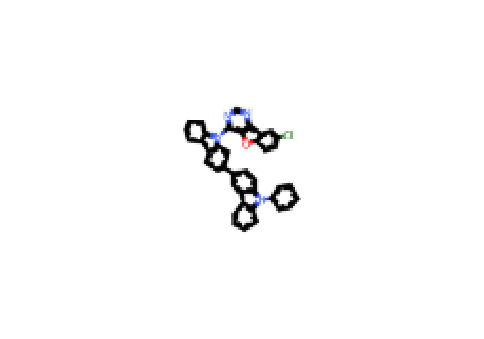 Clc1ccc2oc3c(-n4c5ccccc5c5ccc(-c6ccc7c(c6)c6ccccc6n7-c6ccccc6)cc54)ncnc3c2c1